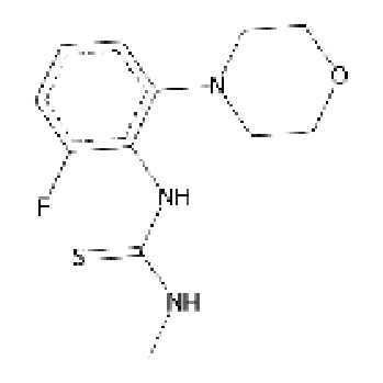 CNC(=S)Nc1c(F)cccc1N1CCOCC1